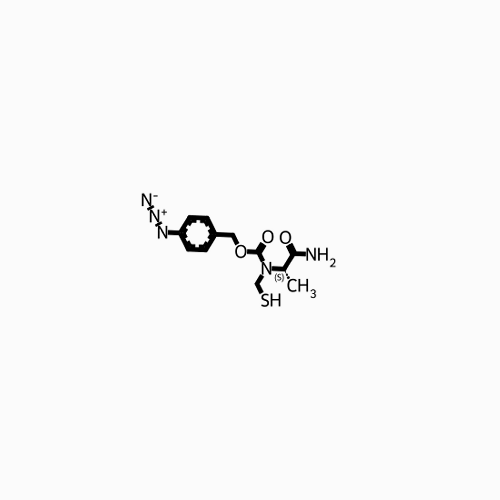 C[C@@H](C(N)=O)N(CS)C(=O)OCc1ccc(N=[N+]=[N-])cc1